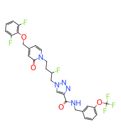 O=C(NCc1cccc(OC(F)(F)F)c1)c1cn(CC(F)CCn2ccc(COc3c(F)cccc3F)cc2=O)nn1